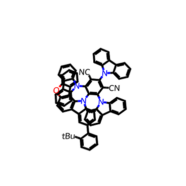 CC(C)(C)c1ccccc1-c1ccc2c(c1)c1ccc3oc4ccccc4c3c1n2-c1c(-n2c3ccccc3c3ccccc32)c(C#N)c(-n2c3ccccc3c3ccccc32)c(C#N)c1-n1c2ccccc2c2ccccc21